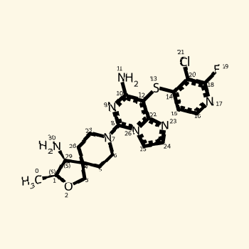 C[C@@H]1OCC2(CCN(c3nc(N)c(Sc4ccnc(F)c4Cl)c4nccn34)CC2)[C@@H]1N